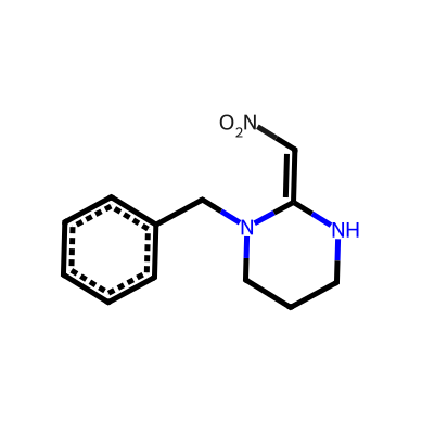 O=[N+]([O-])/C=C1/NCCCN1Cc1ccccc1